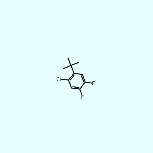 CC(C)(C)c1cc(F)c(F)cc1Cl